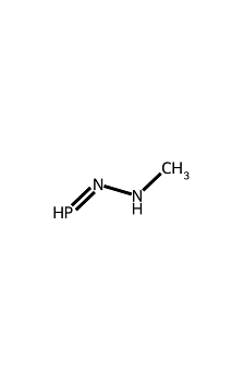 CNN=P